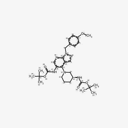 COc1ccc(Cn2ncc3c(N4CCC[C@H](NC(=O)OC(C)(C)C)C4)c(NC(=O)OC(C)(C)C)cnc32)cc1